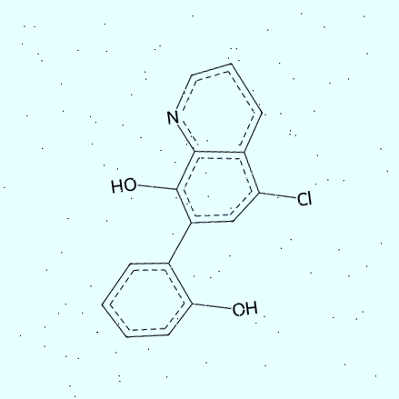 Oc1ccccc1-c1cc(Cl)c2cccnc2c1O